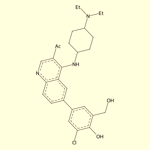 CCN(CC)C1CCC(Nc2c(C(C)=O)cnc3ccc(-c4cc(Cl)c(O)c(CO)c4)cc23)CC1